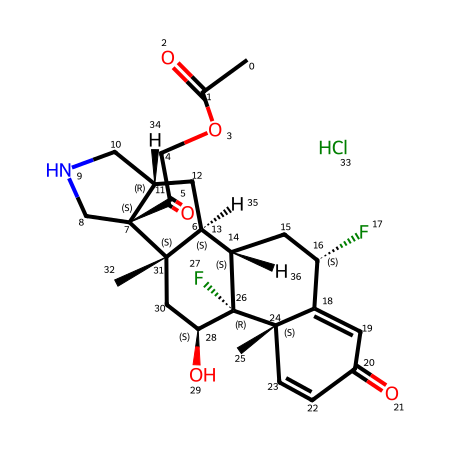 CC(=O)OCC(=O)[C@@]12CNC[C@@H]1C[C@H]1[C@@H]3C[C@H](F)C4=CC(=O)C=C[C@]4(C)[C@@]3(F)[C@@H](O)C[C@@]12C.Cl